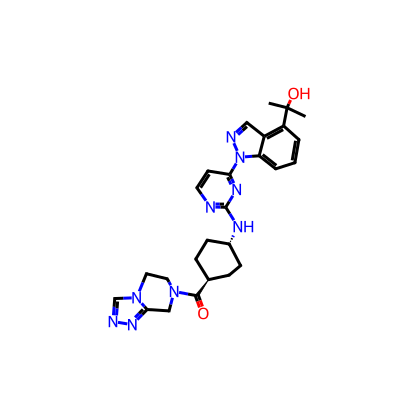 CC(C)(O)c1cccc2c1cnn2-c1ccnc(N[C@H]2CC[C@H](C(=O)N3CCn4cnnc4C3)CC2)n1